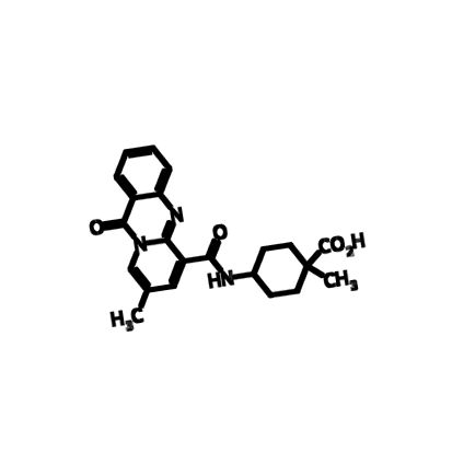 Cc1cc(C(=O)NC2CCC(C)(C(=O)O)CC2)c2nc3ccccc3c(=O)n2c1